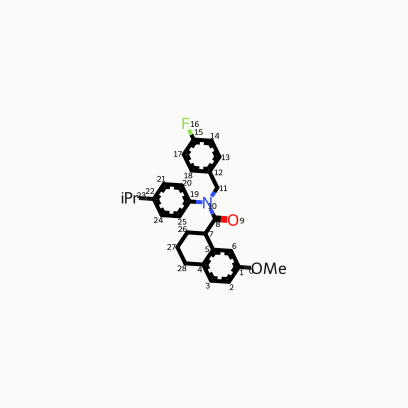 COc1ccc2c(c1)C(C(=O)N(Cc1ccc(F)cc1)c1ccc(C(C)C)cc1)CCC2